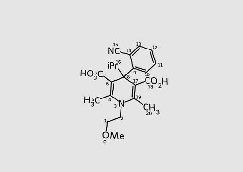 COCCN1C(C)=C(C(=O)O)C(c2ccccc2C#N)(C(C)C)C(C(=O)O)=C1C